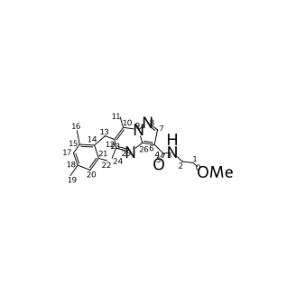 COCCNC(=O)c1cnn2c(C)c(Cc3c(C)cc(C)cc3C)c(C)nc12